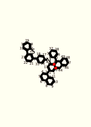 c1cc(-c2cccc3ccccc23)cc(N(c2ccc(-c3cccc4c3sc3ccccc34)cc2)c2ccccc2-c2cccc3ccccc23)c1